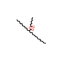 CCCCCCCCCCCCC(CCCCCCCCCC)C(=O)OC(=O)CCCCCC